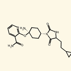 NC(=O)c1cccnc1O[C@]1(N)CC[C@@H](N2C(=O)NC(CCC3CC3)C2=O)CC1